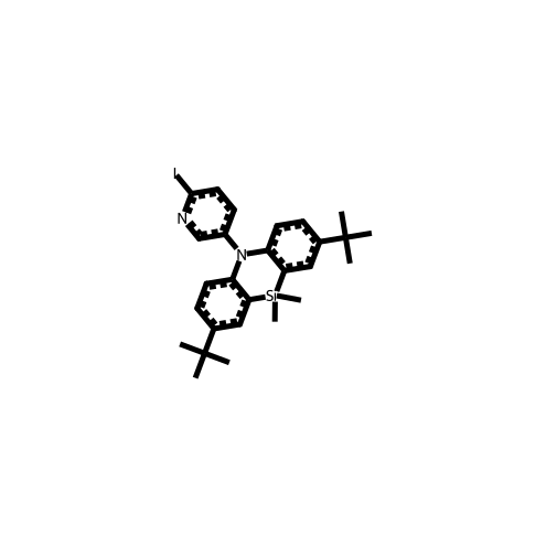 CC(C)(C)c1ccc2c(c1)[Si](C)(C)c1cc(C(C)(C)C)ccc1N2c1ccc(I)nc1